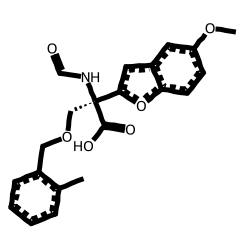 COc1ccc2oc([C@](COCc3ccccc3C)(NC=O)C(=O)O)cc2c1